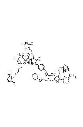 Cc1cccc(-c2nc(CN(CCOc3ccccc3)C(=O)OCc3ccc(NC(=O)C(CCCNC(N)=O)NC(=O)[C@@H](NC(=O)CCCCCN4C(=O)C=CC4=O)C(C)C)cc3)[nH]c2-c2ccc3ncnn3c2)n1